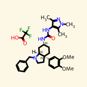 COc1ccc([C@@]23CC[C@@H](NC(=O)Nc4c(C)nn(C)c4C)C[C@@H]2N(Cc2ccccc2)CC3)cc1OC.O=C(O)C(F)(F)F